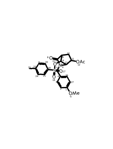 COc1ccc(CN2C(=O)C3CC(OC(C)=O)C2C3OS(=O)(=O)c2ccc(C)cc2)cc1